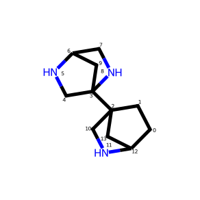 C1CC2(C34CNC(CN3)C4)CNC1C2